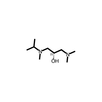 CC(C)N(C)C[C@@H](O)CN(C)C